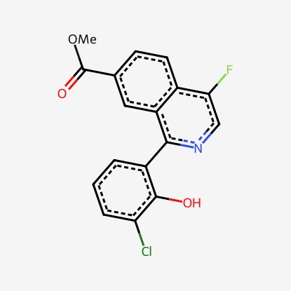 COC(=O)c1ccc2c(F)cnc(-c3cccc(Cl)c3O)c2c1